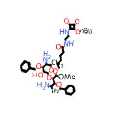 CCCCOc1c(NCCNC(=O)CCCCCOC(OC)C(OC2OC(C)C(N)C(OCc3ccccc3)C2O)C(OCc2ccccc2)C(N)C(C)C)c(=O)c1=O